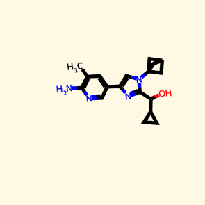 Cc1cc(-c2cn(C34CC(C3)C4)c(C(O)C3CC3)n2)cnc1N